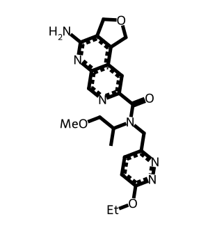 CCOc1ccc(CN(C(=O)c2cc3c4c(c(N)nc3cn2)COC4)C(C)COC)nn1